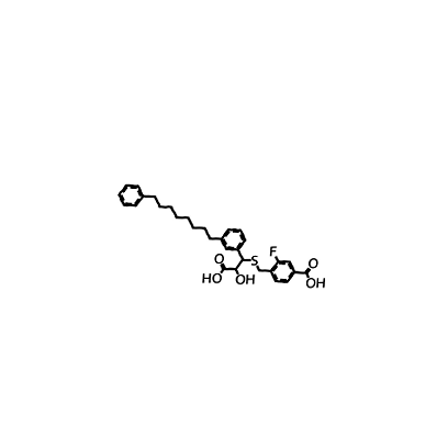 O=C(O)c1ccc(CSC(c2cccc(CCCCCCCCc3ccccc3)c2)C(O)C(=O)O)c(F)c1